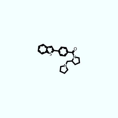 O=C(c1ccc(-c2cc3ccccc3s2)cc1)N1CCCC1CN1CCCC1